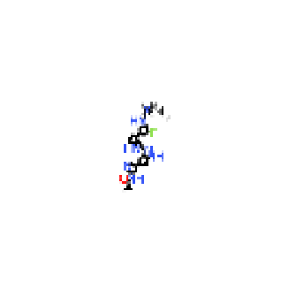 CN(C)CCNc1cc(F)cc(-c2cccc3[nH]c(-c4n[nH]c5ccc(-c6cncc(NC(=O)C7CC7)c6)cc45)cc23)c1